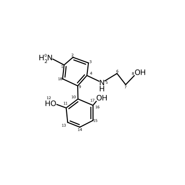 Nc1ccc(NCCO)c(-c2c(O)cccc2O)c1